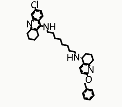 Clc1ccc2c(NCCCCCCCCN[C@@H]3CCCc4nc(OCc5ccccc5)ccc43)c3c(nc2c1)CCCC3